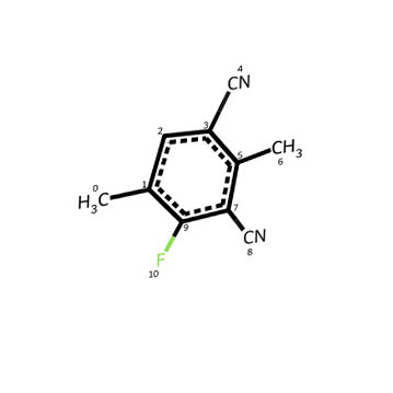 Cc1cc(C#N)c(C)c(C#N)c1F